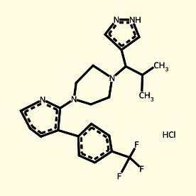 CC(C)C(c1cn[nH]c1)N1CCN(c2ncccc2-c2ccc(C(F)(F)F)cc2)CC1.Cl